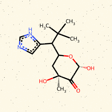 CC(C)(C)C(c1cnc[nH]1)C1C[C@](C)(O)C(=O)[C@@H](O)O1